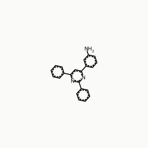 Nc1cccc(-c2cc(-c3ccccc3)nc(-c3ccccc3)n2)c1